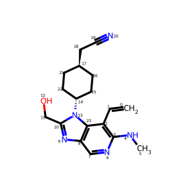 C=Cc1c(NC)ncc2nc(CO)n([C@H]3CC[C@H](CC#N)CC3)c12